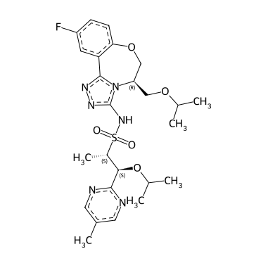 Cc1cnc([C@H](OC(C)C)[C@H](C)S(=O)(=O)Nc2nnc3n2[C@H](COC(C)C)COc2ccc(F)cc2-3)nc1